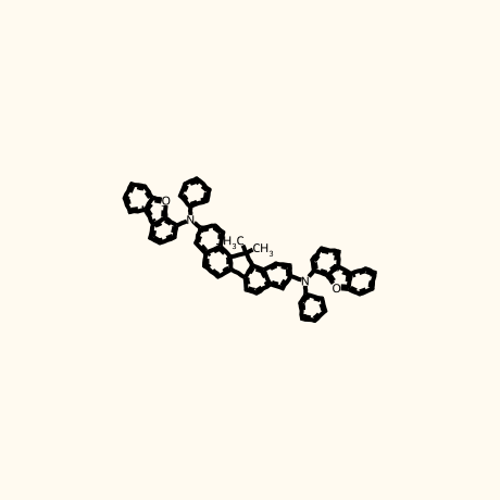 CC1(C)c2c(ccc3cc(N(c4ccccc4)c4cccc5c4oc4ccccc45)ccc23)-c2ccc3cc(N(c4ccccc4)c4cccc5c4oc4ccccc45)ccc3c21